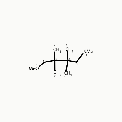 CNCC(C)(C)C(C)(C)COC